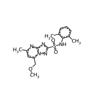 COCc1cc(C)nc2nc(S(=O)(=O)Nc3c(C)cccc3C)nn12